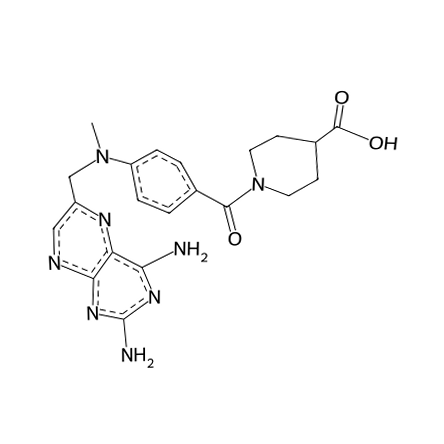 CN(Cc1cnc2nc(N)nc(N)c2n1)c1ccc(C(=O)N2CCC(C(=O)O)CC2)cc1